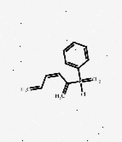 C=C/C=C\C(=C)P(=C)(Cl)c1ccccc1